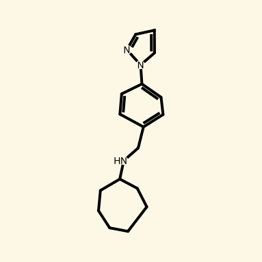 c1cnn(-c2ccc(CNC3CCCCCC3)cc2)c1